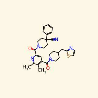 Cc1nc(C(=O)N2CCC(C#N)(c3ccccc3)CC2)cc(C(=O)N2CCC(Cc3nccs3)CC2)c1C